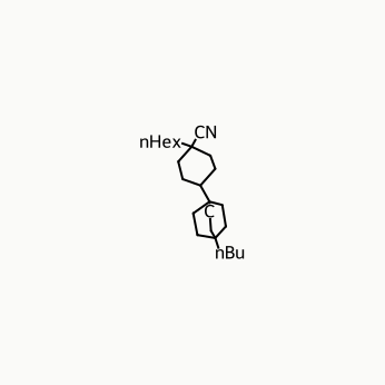 CCCCCCC1(C#N)CCC(C23CCC(CCCC)(CC2)CC3)CC1